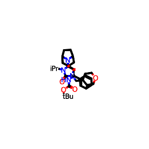 CC(C)N1C(=O)N(CC2CCOCC2)CC12CC1CCC(C2)N1CC[C@H](NC(=O)OC(C)(C)C)c1ccccc1